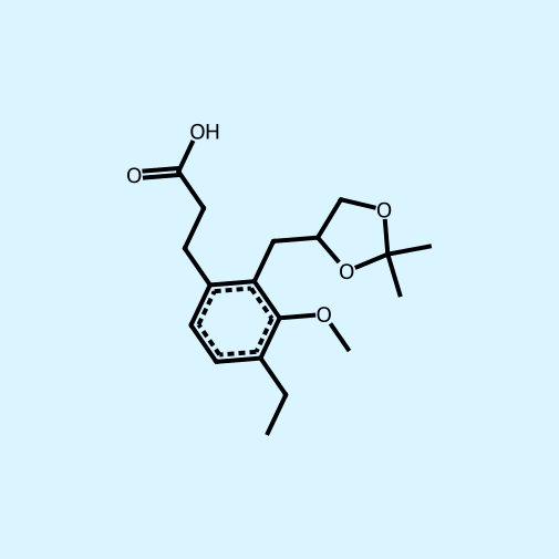 CCc1ccc(CCC(=O)O)c(CC2COC(C)(C)O2)c1OC